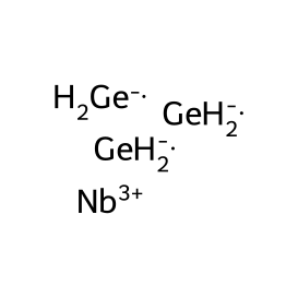 [GeH2-].[GeH2-].[GeH2-].[Nb+3]